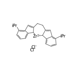 CC(C)c1cccc2c1C=C1CCC3=Cc4c(C(C)C)cccc4[CH]3[Zr+2][CH]12.[Cl-].[Cl-]